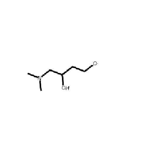 CN(C)CC(O)CC[O]